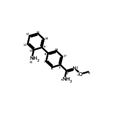 CON=C(N)c1ccc(-c2ccccc2N)cc1